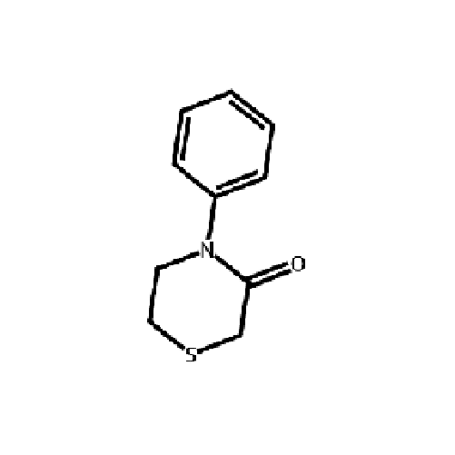 O=C1CSCCN1c1ccccc1